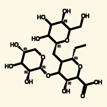 CC[C@@H]1OC(C(=O)O)[C@@H](O)C(O[C@@H]2OC[C@@H](O)C(O)[C@@H]2O)C1C[C@@H]1OC(CO)[C@H](O)C(O)C1O